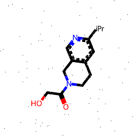 CC(C)c1cc2c(cn1)CN(C(=O)CO)CC2